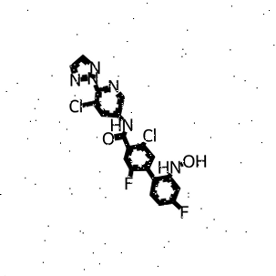 O=C(Nc1cnc(-n2nccn2)c(Cl)c1)c1cc(F)c(-c2ccc(F)cc2NO)cc1Cl